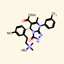 CCCC[N+](C)(C)CCc1cc(C#N)ccc1[C@@H]1C(C(=O)OC)=C(C)N(c2cccc(C(F)(F)F)c2)c2n[nH]c(=O)n21